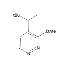 COc1nnccc1C(C)C(C)(C)C